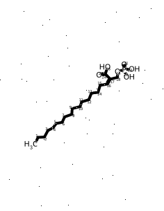 CCCCCCCCCCCCCCCCC=C(COP(=O)(O)O)C(=O)O